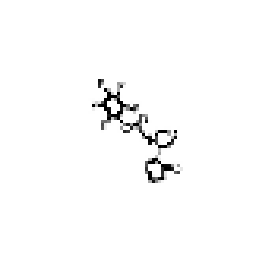 O=C(CN1COC[C@@H]1C1=CC=CCC1=O)Oc1c(F)c(F)c(F)c(F)c1F